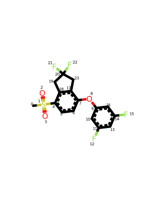 CS(=O)(=O)c1ccc(Oc2cc(F)cc(F)c2)c2c1CC(F)(F)C2